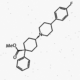 COC(=O)[C@]1(c2ccccc2)CC[C@H](N2CCC(c3ccc(F)cc3)CC2)CC1